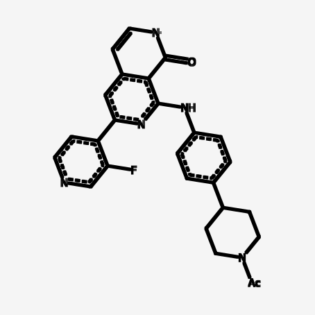 CC(=O)N1CCC(c2ccc(Nc3nc(-c4ccncc4F)cc4c3C(=O)[N]C=C4)cc2)CC1